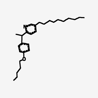 CCCCCCCCCCc1ccc(C(C)c2ccc(OCCCCC)cc2)nc1